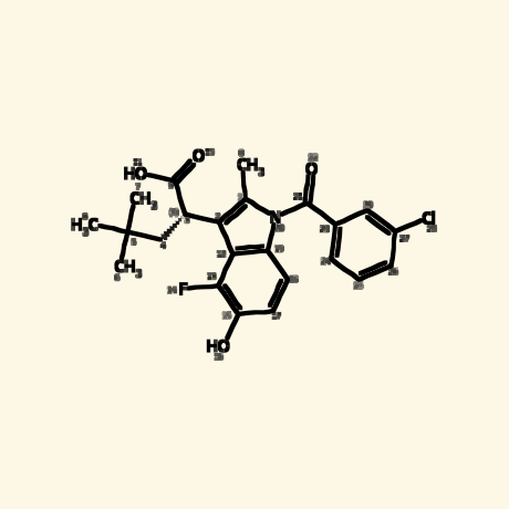 Cc1c([C@H](CC(C)(C)C)C(=O)O)c2c(F)c(O)ccc2n1C(=O)c1cccc(Cl)c1